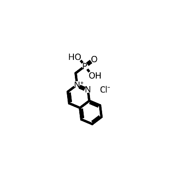 O=P(O)(O)C[n+]1ccc2ccccc2n1.[Cl-]